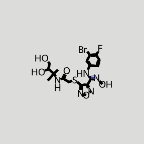 CC(C)(NC(=O)CSc1nonc1/C(=N\O)Nc1ccc(F)c(Br)c1)C(O)CO